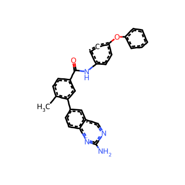 Cc1ccc(C(=O)Nc2ccc(Oc3ccccc3)cc2)cc1-c1ccc2nc(N)ncc2c1